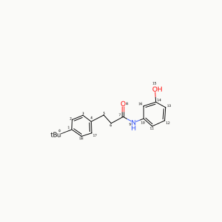 CC(C)(C)c1ccc(CCC(=O)Nc2cccc(O)c2)cc1